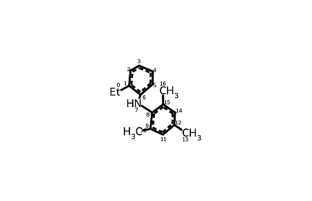 CCc1ccccc1Nc1c(C)cc(C)cc1C